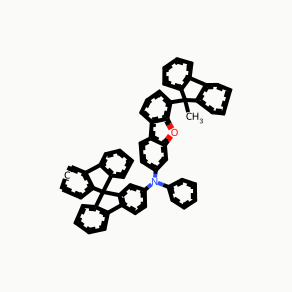 CC1(c2cccc3c2oc2cc(N(c4ccccc4)c4ccc5c(c4)C4(c6ccccc6-c6ccccc64)c4ccccc4-5)ccc23)c2ccccc2-c2ccccc21